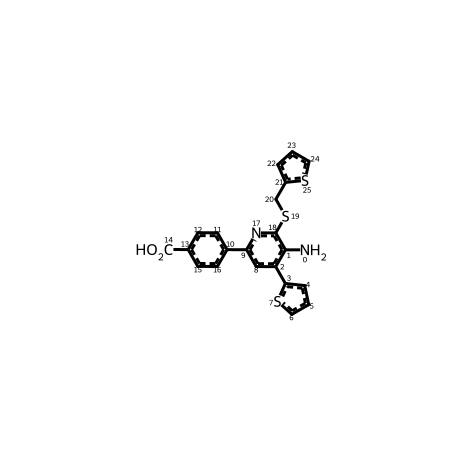 Nc1c(-c2cccs2)cc(-c2ccc(C(=O)O)cc2)nc1SCc1cccs1